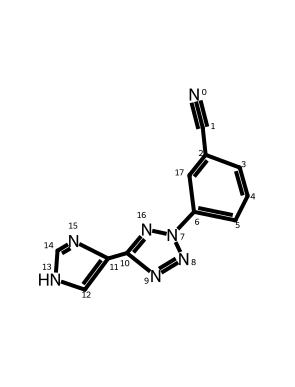 N#Cc1cccc(-n2nnc(-c3c[nH]cn3)n2)c1